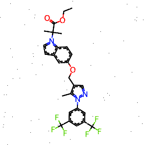 CCOC(=O)C(C)(C)n1ccc2cc(OCc3cnn(-c4cc(C(F)(F)F)cc(C(F)(F)F)c4)c3C)ccc21